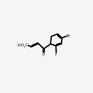 CCOC(=O)/C=C/C(=O)C1CC=C(Br)C=C1F